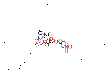 Cc1c(C)c2c(c(C)c1OC(=O)CC1(CC(=O)N(Cc3ccccc3)CC(C)(C)SN=O)CCCC1)CCC(C)(COc1ccc(CC3SC(=O)NC3=O)cc1)O2